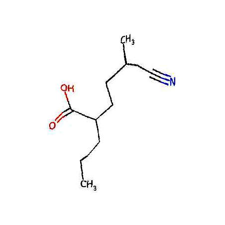 CCCC(CCC(C)C#N)C(=O)O